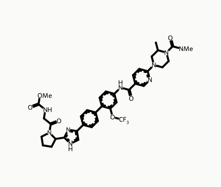 CNC(=O)N1CCN(c2ccc(C(=O)Nc3ccc(-c4ccc(-c5c[nH]c(C6CCCN6C(=O)CNC(=O)OC)n5)cc4)c(OC(F)(F)F)c3)cn2)CC1C